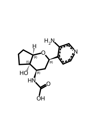 Nc1cnccc1[C@H]1C[C@@H](NC(=O)O)[C@@]2(O)CCC[C@H]2O1